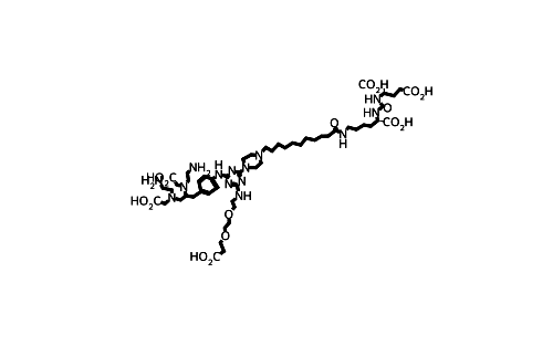 NCCN(CC(=O)O)CC(Cc1ccc(Nc2nc(NCCOCCOCCC(=O)O)nc(N3CCN(CCCCCCCCCCC(=O)NCCCC[C@H](NC(=O)N[C@@H](CCC(=O)O)C(=O)O)C(=O)O)CC3)n2)cc1)N(CCN)CC(=O)O